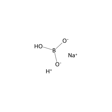 [H+].[Na+].[O-]B([O-])O